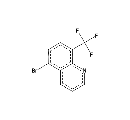 FC(F)(F)c1ccc(Br)c2cccnc12